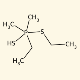 CCSP(C)(C)(S)CC